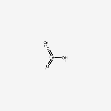 [Ce].[O]=[V](=[O])[OH]